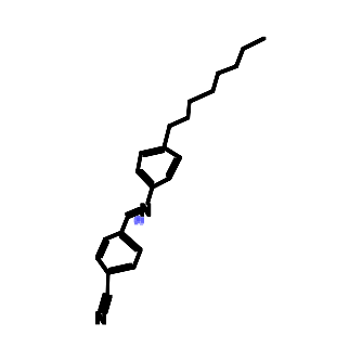 CCCCCCCCc1ccc(/N=C/c2ccc(C#N)cc2)cc1